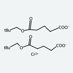 CC(C)(C)COC(=O)CCCC(=O)[O-].CC(C)(C)COC(=O)CCCC(=O)[O-].[Cr+2]